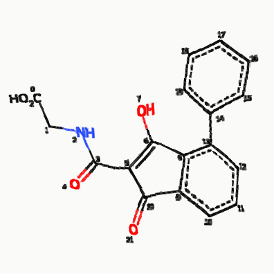 O=C(O)CNC(=O)C1=C(O)c2c(cccc2-c2ccccc2)C1=O